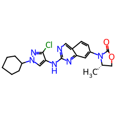 C[C@H]1COC(=O)N1c1ccc2cnc(Nc3cn(C4CCCCC4)nc3Cl)nc2c1